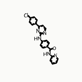 O=C(Nc1ccccn1)c1ccc(Nc2nccc(-c3ccc(Cl)cc3)n2)cc1